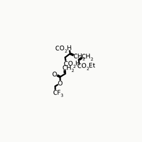 C=C(CC(=O)O)C(=O)O.C=CC(=O)OCC.C=CC(=O)OCC(F)(F)F